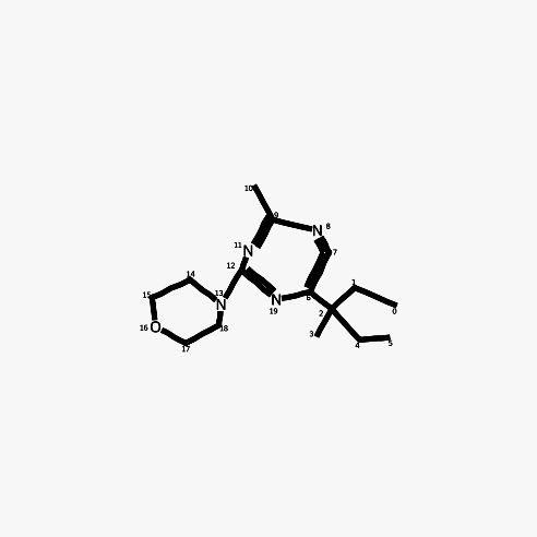 CCC(C)(CC)C1=C=NC(C)=NC(N2CCOCC2)=N1